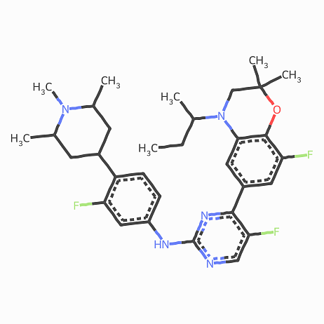 CCC(C)N1CC(C)(C)Oc2c(F)cc(-c3nc(Nc4ccc(C5CC(C)N(C)C(C)C5)c(F)c4)ncc3F)cc21